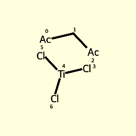 CC(=O)CC(C)=O.[Cl][Ti]([Cl])[Cl]